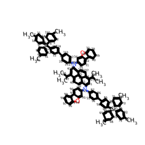 CC1=CC=C([Si](c2ccc(C)cc2)(c2ccc(C)cc2)c2ccc(-c3ccc(N(c4ccc5c(c4)oc4ccccc45)c4cc(C(C)C)c5ccc6c(N(c7ccc(-c8ccc([Si](c9ccc(C)cc9)(c9ccc(C)cc9)c9ccc(C)cc9)cc8)cc7)c7ccc8c(c7)oc7ccccc78)cc(C(C)C)c7ccc4c5c76)cc3)cc2)CC1